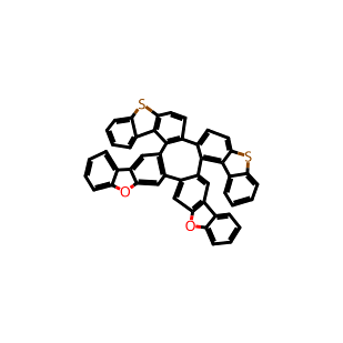 c1ccc2c(c1)oc1cc3c(cc12)-c1c(ccc2sc4ccccc4c12)-c1ccc2sc4ccccc4c2c1-c1cc2c(cc1-3)oc1ccccc12